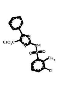 CCOC(=O)c1sc(NS(=O)(=O)c2cccc(Cl)c2C)nc1-c1ccccc1